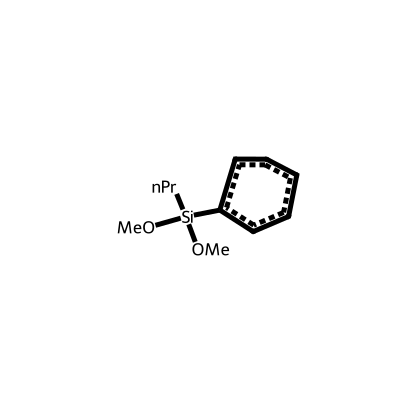 [CH2]CC[Si](OC)(OC)c1ccccc1